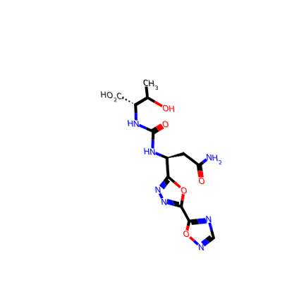 CC(O)[C@H](NC(=O)N[C@@H](CC(N)=O)c1nnc(-c2ncno2)o1)C(=O)O